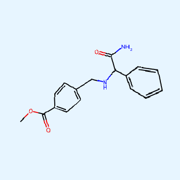 COC(=O)c1ccc(CNC(C(N)=O)c2ccccc2)cc1